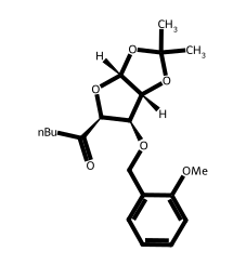 CCCCC(=O)[C@H]1O[C@@H]2OC(C)(C)O[C@@H]2[C@H]1OCc1ccccc1OC